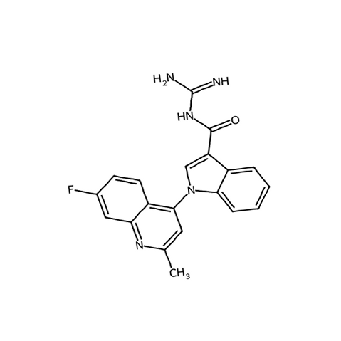 Cc1cc(-n2cc(C(=O)NC(=N)N)c3ccccc32)c2ccc(F)cc2n1